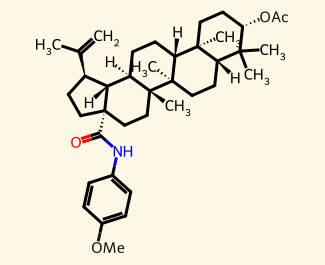 C=C(C)[C@@H]1CC[C@]2(C(=O)Nc3ccc(OC)cc3)CC[C@]3(C)[C@H](CC[C@@H]4[C@@]5(C)CC[C@H](OC(C)=O)C(C)(C)[C@@H]5CC[C@]43C)[C@@H]12